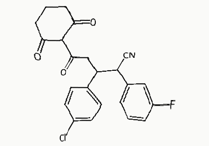 N#CC(c1cccc(F)c1)C(CC(=O)C1C(=O)CCCC1=O)c1ccc(Cl)cc1